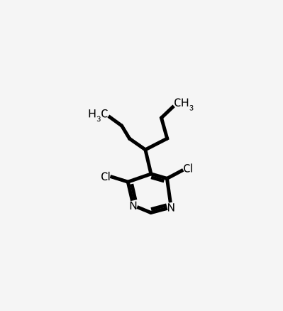 CCCC(CCC)c1c(Cl)ncnc1Cl